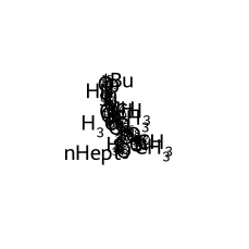 C/C=C(\NC(=O)c1csc(CNC(=O)OC(C)(C)C)n1)C(=O)N(C)[C@@H](C)C(=O)O[C@H](/C=C/CCSC(=O)CCCCCCC)CC(=O)OCC[Si](C)(C)C